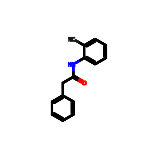 N#Cc1ccccc1NC(=O)Cc1ccccc1